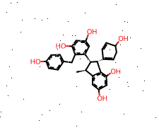 C[C@@H]1c2cc(O)cc(O)c2[C@@H](C2=CCC(O)C=C2)[C@@H]1c1cc(O)cc(O)c1Cc1ccc(O)cc1